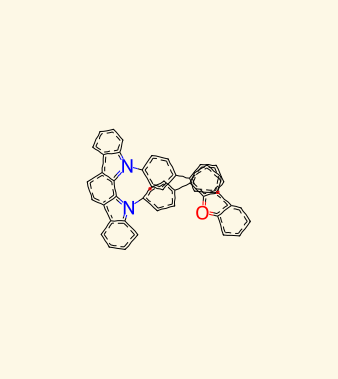 c1ccc(-c2ccc(-n3c4ccccc4c4ccc5c6ccccc6n(-c6ccc(-c7cccc8c7oc7ccccc78)cc6)c5c43)cc2)cc1